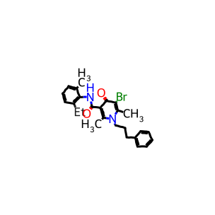 CCc1cccc(C)c1NC(=O)c1c(C)n(CCCc2ccccc2)c(C)c(Br)c1=O